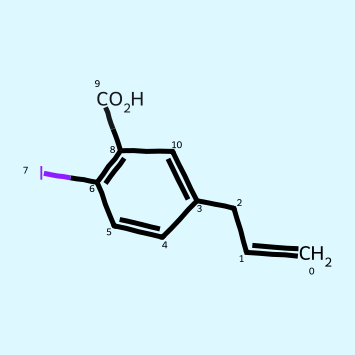 C=CCc1ccc(I)c(C(=O)O)c1